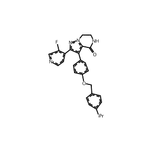 CC(C)c1ccc(COc2ccc(-c3c(-c4ccncc4F)nn4c3C(=O)NCC4)cc2)cc1